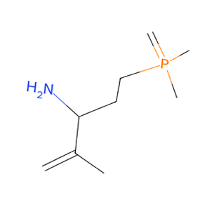 C=C(C)C(N)CCP(=C)(C)C